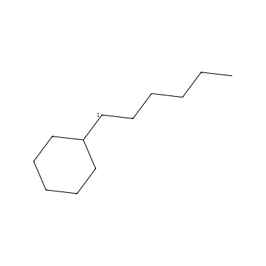 CCCCC[C]C1CCCCC1